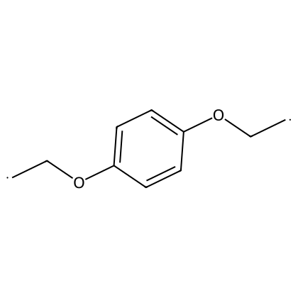 [CH2]COc1ccc(OC[CH2])cc1